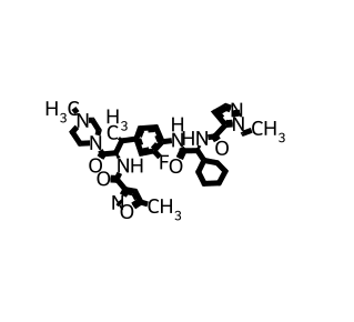 CCn1nccc1C(=O)N[C@H](C(=O)Nc1ccc([C@H](C)[C@@H](NC(=O)c2cc(C)on2)C(=O)N2CCN(C)CC2)cc1F)C1CCCCC1